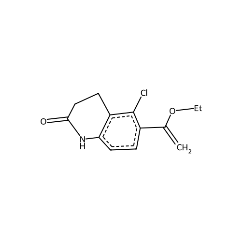 C=C(OCC)c1ccc2c(c1Cl)CCC(=O)N2